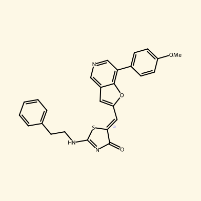 COc1ccc(-c2cncc3cc(/C=C4\SC(NCCc5ccccc5)=NC4=O)oc23)cc1